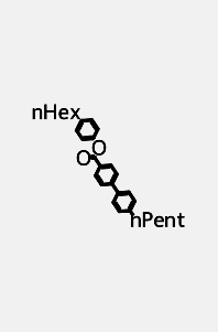 CCCCCCc1ccc(OC(=O)c2ccc(-c3ccc(CCCCC)cc3)cc2)cc1